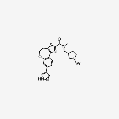 CC(C)N1CC[C@H](CN(C)C(=O)c2nc3c(s2)CCOc2cc(-c4cn[nH]c4)ccc2-3)C1